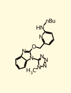 CCCCNc1cccc(COc2nc3ccccc3n2-c2nnnn2C)n1